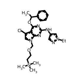 CCn1cc(Nc2nc(OC(C)c3ccccc3)c3c(Cl)cn(COCC[Si](C)(C)C)c3n2)cn1